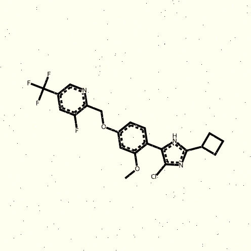 COc1cc(OCc2ncc(C(F)(F)F)cc2F)ccc1-c1[nH]c(C2CCC2)nc1Cl